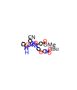 COC(=O)c1ccc(C(=O)N(Cc2nc3cc(C#N)ccc3n2CC(=O)NC(C)c2ccccc2)c2ccc(OC3CCN(C(=O)OC(C)(C)C)CC3)cc2)cc1